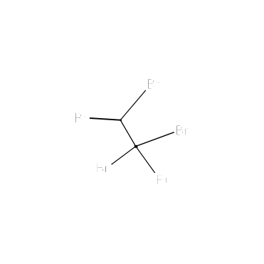 CCC(Br)(Br)C(Br)Br